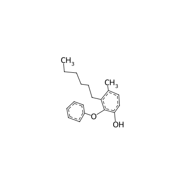 CCCCCCc1c(C)ccc(O)c1Oc1ccccc1